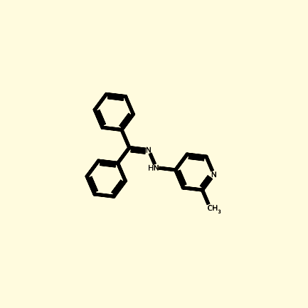 Cc1cc(NN=C(c2ccccc2)c2ccccc2)ccn1